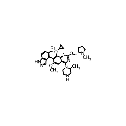 COc1cc2c(N3CCNC[C@@H]3C)nc(OC[C@@H]3CCCN3C)nc2c(OC2CC2)c1-c1c(C)ccc2[nH]ncc12